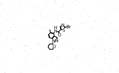 Cc1ccc2c(cnn2C2CCCCO2)c1NC(=O)c1cnc(Br)s1